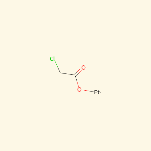 C[CH]OC(=O)CCl